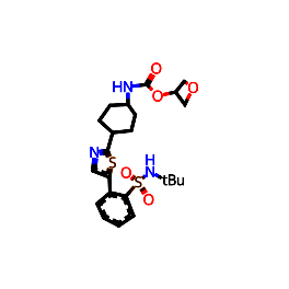 CC(C)(C)NS(=O)(=O)c1ccccc1-c1cnc(C2CCC(NC(=O)OC3COC3)CC2)s1